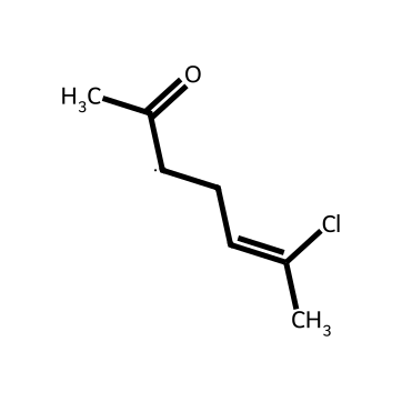 CC(=O)[CH]CC=C(C)Cl